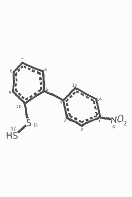 O=[N+]([O-])c1ccc(-c2ccccc2SS)cc1